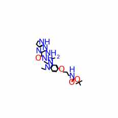 CCn1c(CNC(=O)c2nc3c(nc2N)NCC3)[n+](CC)c2ccc(OCCCNC(=O)OC(C)(C)C)cc21